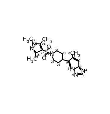 Cc1cc2ncnn2cc1C1CCN(S(=O)(=O)c2c(C)nn(C)c2C)CC1